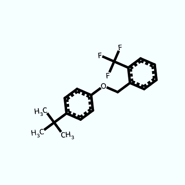 CC(C)(C)c1ccc(OCc2ccccc2C(F)(F)F)cc1